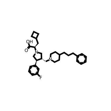 O=C(O)[C@@H](CC1CCC1)N1C[C@H](CN2CCC(CCCc3ccccc3)CC2)[C@@H](c2cccc(F)c2)C1